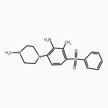 Cc1c(S(=O)(=O)c2ccccc2)ccc(N2CCN(C)CC2)c1[N+](=O)[O-]